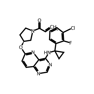 C=CC(=O)N1CC[C@H](Oc2ccc3ncnc(NC4(c5cccc(Cl)c5F)CC4)c3n2)C1